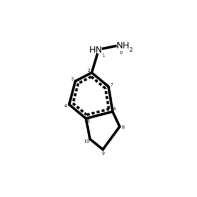 NNc1ccc2c(c1)CCC2